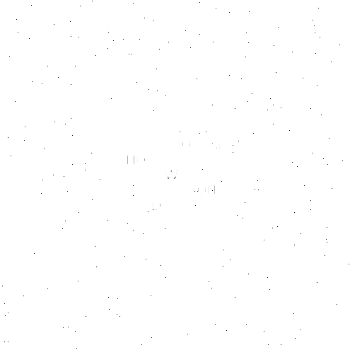 [O]=[W](=[O])([OH])[OH].[Si]